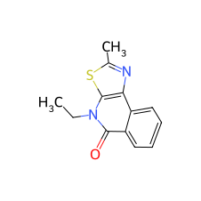 CCn1c(=O)c2ccccc2c2nc(C)sc21